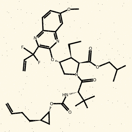 C=CCC[C@@H]1C[C@H]1OC(=O)N[C@H](C(=O)N1C[C@H](Oc2nc3cc(OC)ccc3nc2C(F)(F)C=C)[C@@H](CC)[C@H]1C(=O)OCC(C)C)C(C)(C)C